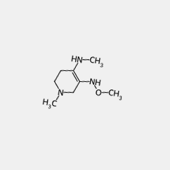 CNC1=C(NOC)CN(C)CC1